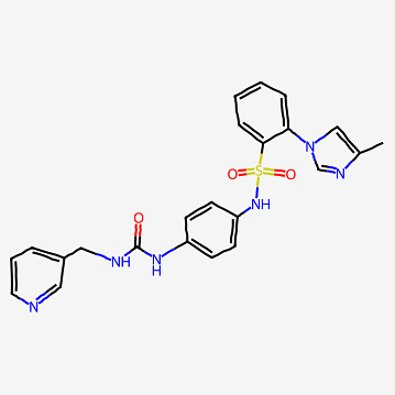 Cc1cn(-c2ccccc2S(=O)(=O)Nc2ccc(NC(=O)NCc3cccnc3)cc2)cn1